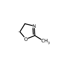 CC1=NC[CH]O1